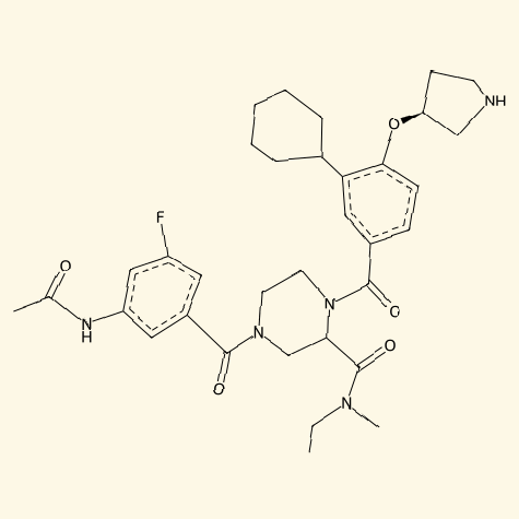 CCN(C)C(=O)C1CN(C(=O)c2cc(F)cc(NC(C)=O)c2)CCN1C(=O)c1ccc(O[C@H]2CCNC2)c(C2CCCCC2)c1